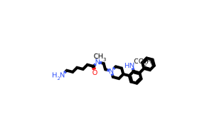 CN(CCN1CCC(c2cccc(-c3ccccc3)c2NC(=O)O)CC1)C(=O)CCCCCN